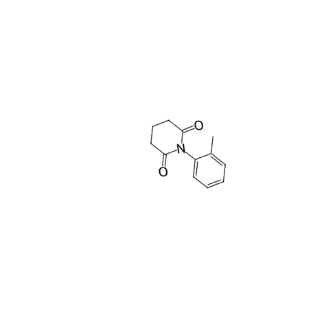 Cc1ccccc1N1C(=O)CCCC1=O